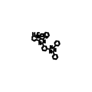 C[Si]1(C)c2ccccc2-c2nc(-c3cccc(-c4nc(-c5ccccc5)nc(-c5ccccc5)n4)c3)nc(-c3ccccc3)c21